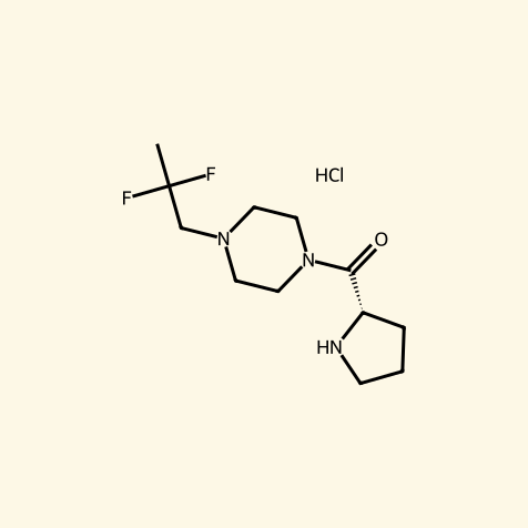 CC(F)(F)CN1CCN(C(=O)[C@@H]2CCCN2)CC1.Cl